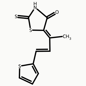 CC(C=Cc1cccs1)=C1SC(=S)NC1=O